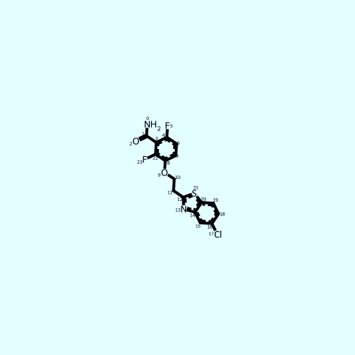 NC(=O)c1c(F)ccc(OCCc2nc3cc(Cl)ccc3s2)c1F